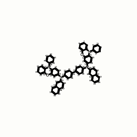 c1ccc(N2c3ccccc3Oc3cc(N(c4ccc(-c5ccc(N(c6ccc7c(c6)Oc6ccccc6N7c6ccccc6)c6ccc7ccccc7c6)cc5)cc4)c4ccc5ccccc5c4)ccc32)cc1